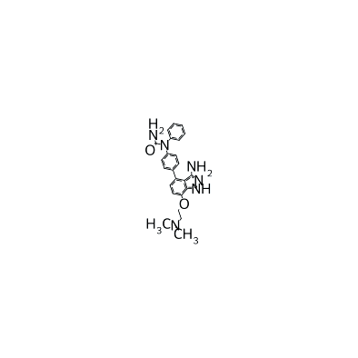 CN(C)CCOc1ccc(-c2ccc(N(C(N)=O)c3ccccc3)cc2)c2c(N)n[nH]c12